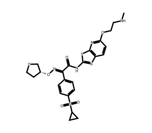 CNCCOc1ccc2nc(NC(=O)/C(=N/O[C@@H]3CCOC3)c3ccc(S(=O)(=O)C4CC4)cc3)sc2n1